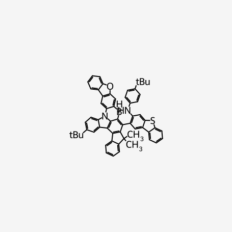 CC(C)(C)c1ccc(Nc2cc3sc4ccccc4c3cc2-c2c3c(c4c5cc(C(C)(C)C)ccc5n5c4c2Bc2cc4oc6ccccc6c4cc2-5)-c2ccccc2C3(C)C)cc1